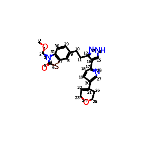 COCn1c(=O)sc2cc(CCc3n[nH]cc3-c3ccc(C4=CCOCC4)cn3)ccc21